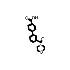 O=C(O)c1ccc(-c2cccc(C(=O)N3CCOCC3)c2)cc1